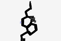 Cc1cccc(CO)c1/C=C\C(C)CSI